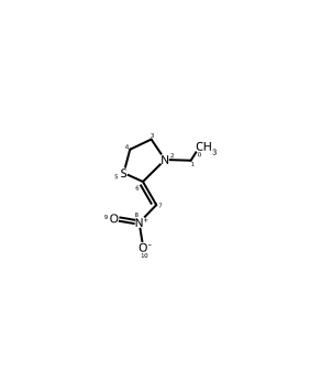 CCN1CCSC1=C[N+](=O)[O-]